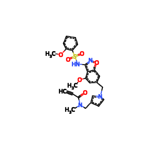 C#CC(=O)N(C)Cc1ccn(Cc2cc(OC)c3c(NS(=O)(=O)c4ccccc4OC)noc3c2)c1